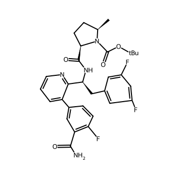 C[C@@H]1CC[C@H](C(=O)N[C@@H](Cc2cc(F)cc(F)c2)c2ncccc2-c2ccc(F)c(C(N)=O)c2)N1C(=O)OC(C)(C)C